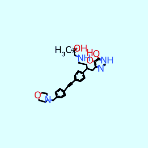 C[C@H](O)CNCCC(Cc1nc[nH]c(=O)c1O)c1ccc(C#Cc2ccc(CN3CCOCC3)cc2)cc1